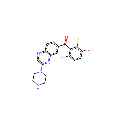 O=C(c1ccc2ncc(N3CCNCC3)nc2c1)c1c(F)ccc(O)c1F